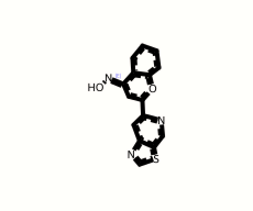 O/N=c1\cc(-c2cc3ncsc3cn2)oc2ccccc12